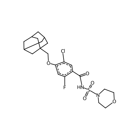 O=C(NS(=O)(=O)N1CCOCC1)c1cc(Cl)c(OCC23CC4CC(CC(C4)C2)C3)cc1F